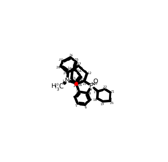 Cn1c(-c2ccccc2P(=O)(C2CCCCC2)C2CCCCC2)cc2ccccc21